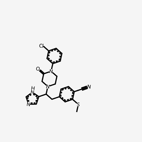 CSc1cc(CC(c2cnc[nH]2)N2CCN(c3cccc(Cl)c3)C(=O)C2)ccc1C#N